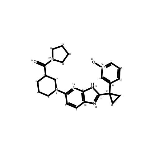 O=C(C1CCCN(c2ccc3nc(C4(c5ccc[n+]([O-])c5)CC4)[nH]c3n2)C1)N1CCCC1